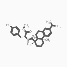 COC(=O)[C@@H](Cc1ccc(O)cc1)NC(=O)[C@]1(C)CCC[C@]2(C)c3ccc(C(C)C)cc3CC[C@@H]12